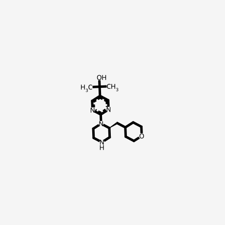 CC(C)(O)c1cnc(N2CCNC[C@@H]2CC2CCOCC2)nc1